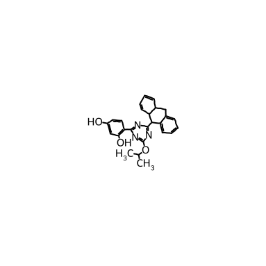 CC(C)Oc1nc(-c2ccc(O)cc2O)nc(C2c3ccccc3CC3C=CC=CC32)n1